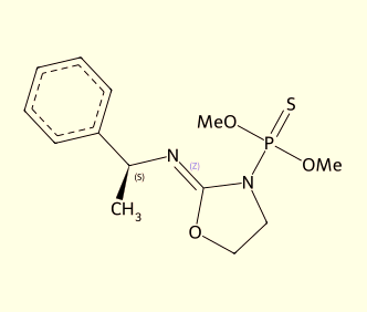 COP(=S)(OC)N1CCO/C1=N\[C@@H](C)c1ccccc1